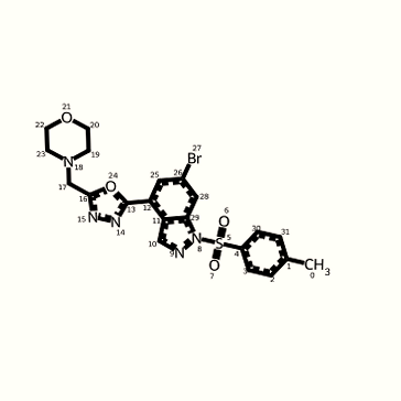 Cc1ccc(S(=O)(=O)n2ncc3c(-c4nnc(CN5CCOCC5)o4)cc(Br)cc32)cc1